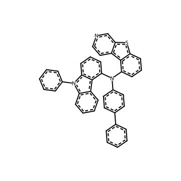 c1ccc(-c2ccc(N(c3cccc4sc5cnccc5c34)c3cccc4c3c3ccccc3n4-c3ccccc3)cc2)cc1